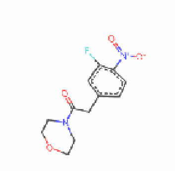 O=C(Cc1ccc([N+](=O)[O-])c(F)c1)N1CCOCC1